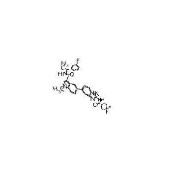 C[C@H](NC(=O)c1cn(C)c2ccc(-c3ccn4nc(NC(=O)C5CCC(F)(F)CC5)nc4c3)cc12)c1cccc(F)c1